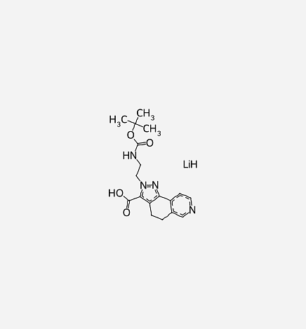 CC(C)(C)OC(=O)NCCn1nc2c(c1C(=O)O)CCc1cnccc1-2.[LiH]